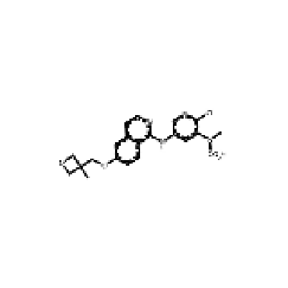 CN(C(=O)O)c1cc(Nc2nccc3cc(OCC4(C)COC4)ccc23)cnc1Cl